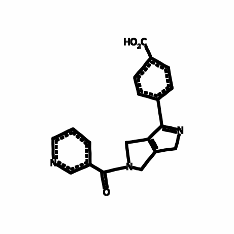 O=C(O)c1ccc(C2=NCC3=C2CN(C(=O)c2cccnc2)C3)cc1